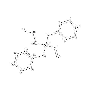 C=C[Si](Cc1ccccc1)(Cc1ccccc1)OCC